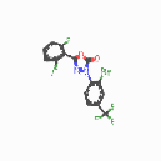 O=c1oc(-c2c(F)cccc2F)nn1-c1ccc(C(F)(F)F)cc1Br